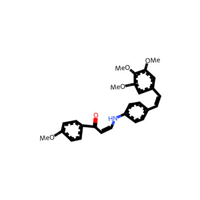 COc1ccc(C(=O)/C=C\Nc2ccc(/C=C\c3cc(OC)c(OC)c(OC)c3)cc2)cc1